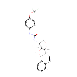 O=C(Nc1ccc(OC(F)(F)F)cc1)N[C@H]1CO[C@H]2[C@@H]1OC[C@@H]2/C=C\c1ccccc1